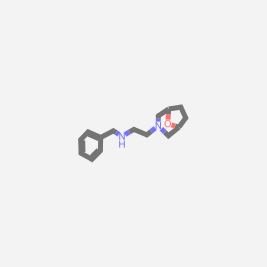 c1ccc(CNCCN2CC3CCC(C2)O3)cc1